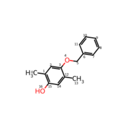 Cc1cc(OCc2ccccc2)c(C)cc1O